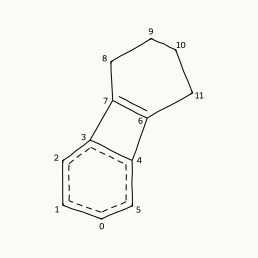 c1ccc2c(c1)C1=C2CCCC1